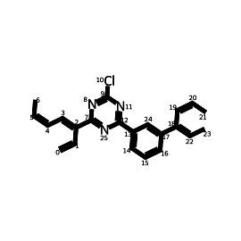 C=C/C(=C\C=C/C)c1nc(Cl)nc(-c2cccc(C(/C=C\C)=C/C)c2)n1